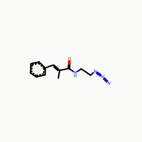 C/C(=C\c1ccccc1)C(=O)NCCN=[N+]=[N-]